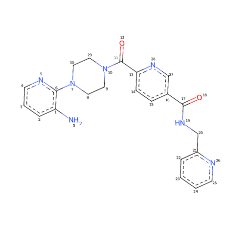 Nc1cccnc1N1CCN(C(=O)c2ccc(C(=O)NCc3ccccn3)cn2)CC1